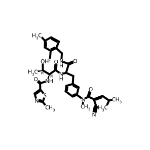 Cc1ccc(CNC(=O)C(Cc2cccc(N(C)C(=O)C(C#N)=CC(C)C)c2)NC(=O)[C@@H](NC(=O)c2cnc(C)s2)[C@@H](C)O)c(F)c1